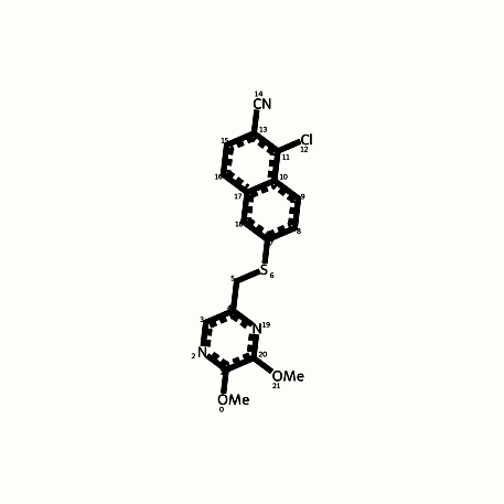 COc1ncc(CSc2ccc3c(Cl)c(C#N)ccc3c2)nc1OC